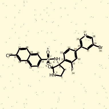 O=C1NCC[C@]1(NS(=O)(=O)c1ccc2cc(Cl)ccc2c1)c1ccc(-c2cncc(Br)c2)cc1F